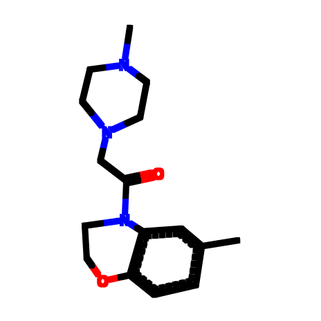 Cc1ccc2c(c1)N(C(=O)CN1CCN(C)CC1)CCO2